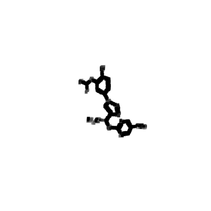 COc1cnc(O[C@H](C)c2cn(-c3ccc(Cl)c(OC(F)F)c3)nn2)nc1